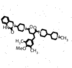 COc1c(C)cc(CC(CC(=O)N2CCC(N3Cc4ccccc4NC3=O)CC2)C(=O)N2CCC(C3CCN(C)CC3)CC2)cc1C